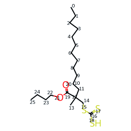 CCCCCCCCCCCCC(C)(CSC(=S)S)C(=O)OCCCC